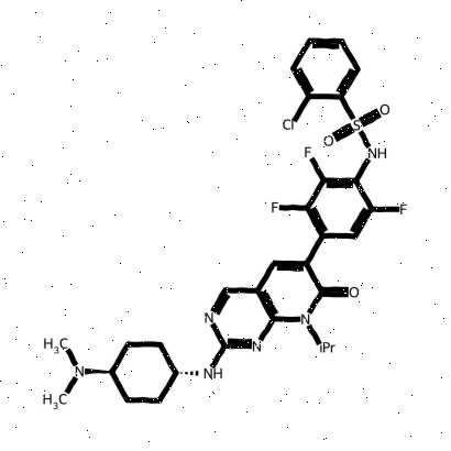 CC(C)n1c(=O)c(-c2cc(F)c(NS(=O)(=O)c3ccccc3Cl)c(F)c2F)cc2cnc(N[C@H]3CC[C@H](N(C)C)CC3)nc21